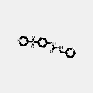 O=C(NCc1cccnc1)Nc1ccc(S(=O)(=O)c2ccncc2)cc1